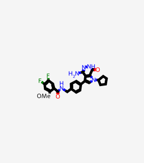 COc1cc(F)c(F)cc1C(=O)NCc1ccc(-c2cn(C3CCCC3)c3c(=O)[nH]nc(N)c23)cc1